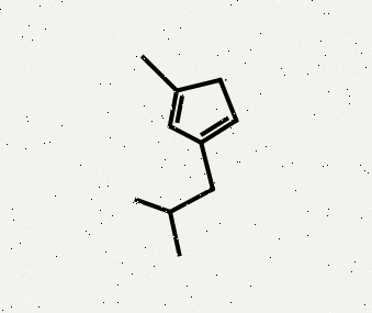 CC1=CC(CC(C)C)=C[CH]1